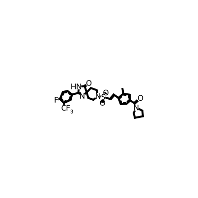 Cc1cc(C(=O)N2CCCC2)ccc1C=CS(=O)(=O)N1CCC2(CC1)N=C(c1ccc(F)c(C(F)(F)F)c1)NC2=O